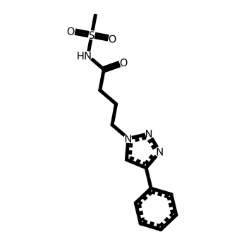 CS(=O)(=O)NC(=O)CCCn1cc(-c2ccccc2)nn1